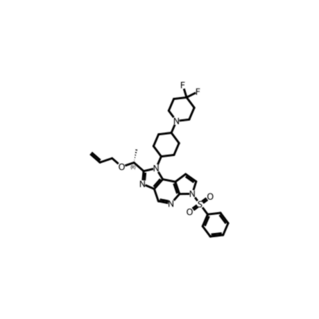 C=CCO[C@H](C)c1nc2cnc3c(ccn3S(=O)(=O)c3ccccc3)c2n1C1CCC(N2CCC(F)(F)CC2)CC1